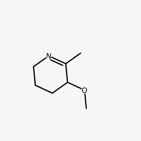 COC1CCCN=C1C